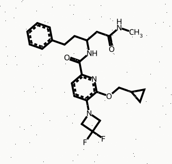 CNC(=O)CC(CCc1ccccc1)NC(=O)c1ccc(N2CC(F)(F)C2)c(OCC2CC2)n1